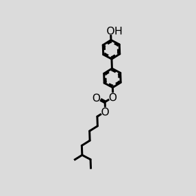 CCC(C)CCCCCOC(=O)Oc1ccc(-c2ccc(O)cc2)cc1